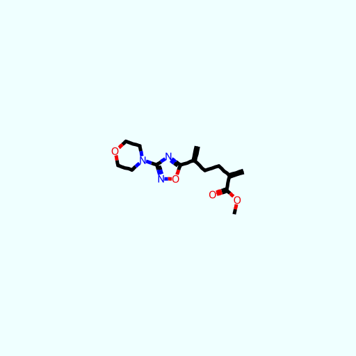 C=C(CCC(=C)c1nc(N2CCOCC2)no1)C(=O)OC